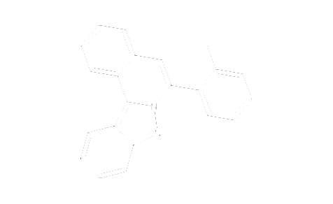 Cc1ccccc1-c1cc2ccccc2c2c3ccccc3nn12